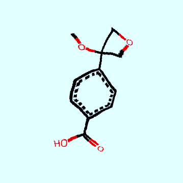 COC1(c2ccc(C(=O)O)cc2)COC1